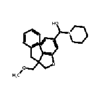 COCC1(Cc2ccccc2)COc2cc(C(O)N3CCCCC3)ccc21